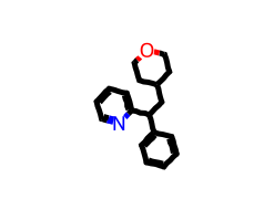 c1ccc(C(CC2CCOCC2)c2ccccn2)cc1